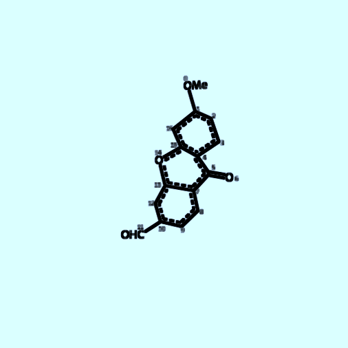 COc1ccc2c(=O)c3ccc(C=O)cc3oc2c1